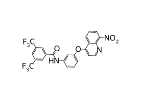 O=C(Nc1cccc(Oc2ccnc3c([N+](=O)[O-])cccc23)c1)c1cc(C(F)(F)F)cc(C(F)(F)F)c1